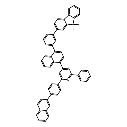 CC1(C)c2ccccc2-c2ccc(-c3cccc(-c4ccc(-c5cc(-c6ccc(-c7ccc8ccccc8c7)cc6)nc(-c6ccccc6)n5)c5ccccc45)c3)cc21